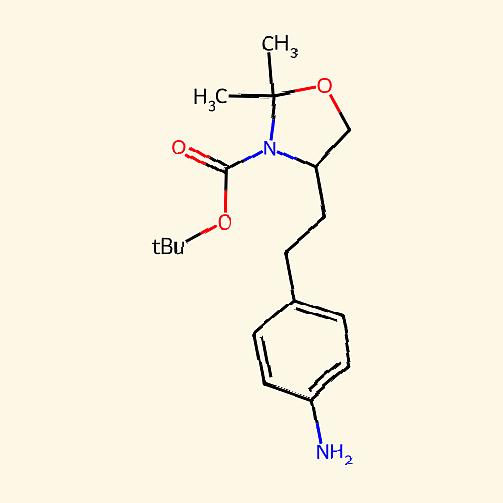 CC(C)(C)OC(=O)N1C(CCc2ccc(N)cc2)COC1(C)C